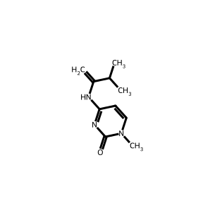 C=C(Nc1ccn(C)c(=O)n1)C(C)C